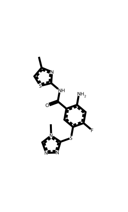 Cc1csc(NC(=O)c2cc(Sc3nncn3C)c(F)cc2N)n1